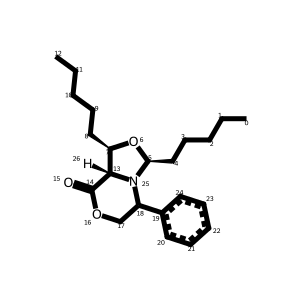 CCCCC[C@@H]1O[C@H](CCCCC)[C@H]2C(=O)OCC(c3ccccc3)N12